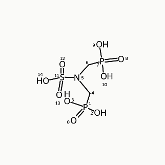 O=P(O)(O)CN(CP(=O)(O)O)S(=O)(=O)O